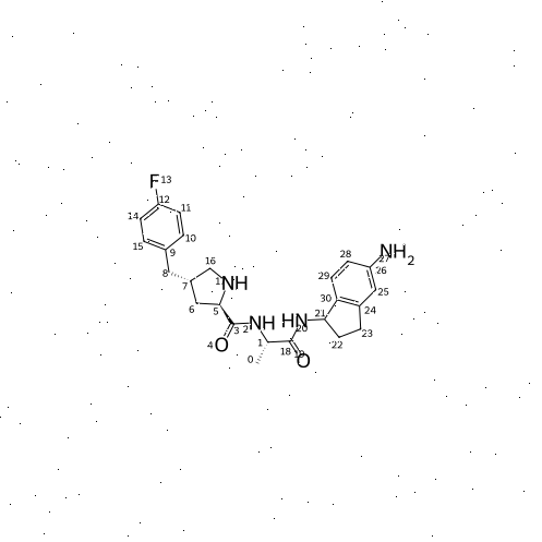 C[C@H](NC(=O)[C@H]1C[C@H](Cc2ccc(F)cc2)CN1)C(=O)NC1CCc2cc(N)ccc21